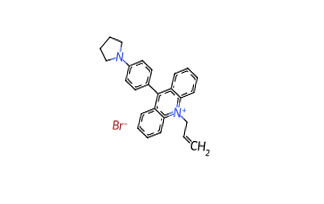 C=CC[n+]1c2ccccc2c(-c2ccc(N3CCCC3)cc2)c2ccccc21.[Br-]